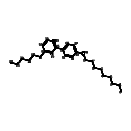 CCCCCCCCCOc1ccc(-c2nccc(CCCCCC)n2)cc1